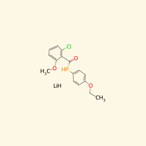 CCOc1ccc(PC(=O)c2c(Cl)cccc2OC)cc1.[LiH]